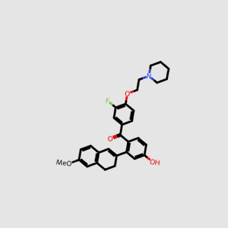 COc1ccc2c(c1)CCC(c1cc(O)ccc1C(=O)c1ccc(OCCN3CCCCC3)c(F)c1)=C2